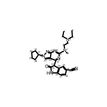 CCN(CC)CCN(C)c1nc(C2C(=O)Nc3ccc(C#N)cc32)c2cn(C3CCCC3)nc2n1